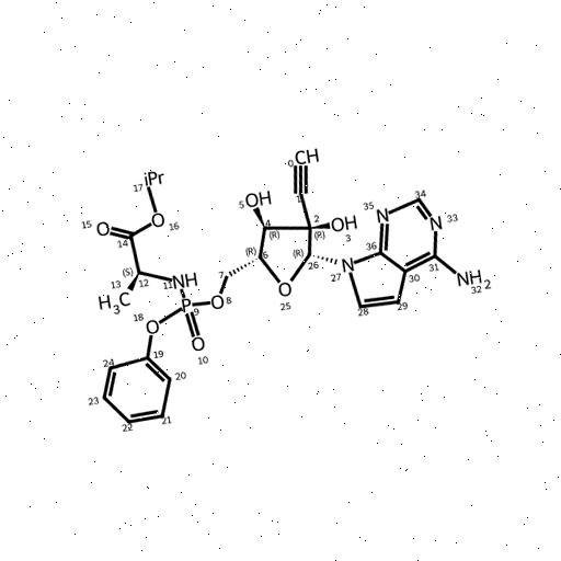 C#C[C@@]1(O)[C@H](O)[C@@H](COP(=O)(N[C@@H](C)C(=O)OC(C)C)Oc2ccccc2)O[C@H]1n1ccc2c(N)ncnc21